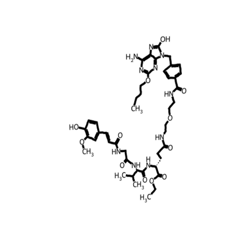 CCCCOc1nc(N)c2nc(O)n(Cc3ccc(C(=O)NCCOCCNC(=O)CC[C@@H](NC(=O)[C@@H](NC(=O)CNC(=O)/C=C/c4ccc(O)c(OC)c4)C(C)C)C(=O)OCC)cc3)c2n1